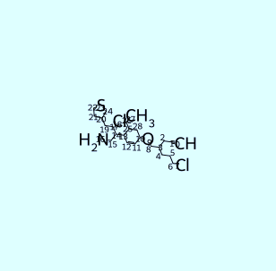 C#CCC(CCCCl)COC1C=CC(C(CN)C(Cl)CC2CCSC2)C(CC)C1